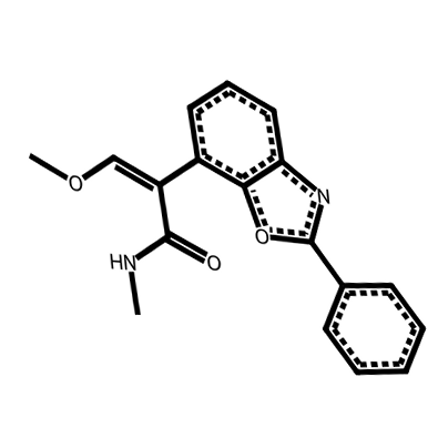 CNC(=O)/C(=C\OC)c1cccc2nc(-c3ccccc3)oc12